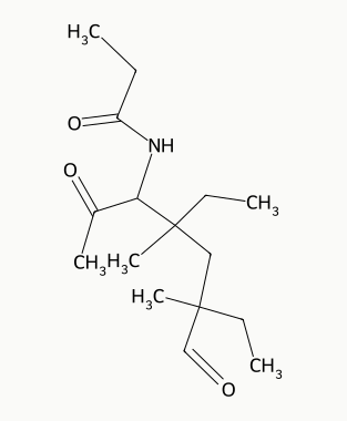 CCC(=O)NC(C(C)=O)C(C)(CC)CC(C)(C=O)CC